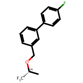 C[C@@H](OCc1c[c]cc(-c2ccc(F)cc2)c1)C(F)(F)F